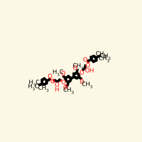 COCc1cc(-c2cc(COC)c(OCC(O)COC(=O)c3ccc(C(C)(C)C)cc3)c(COC)c2)cc(COC)c1OCC(O)COC(=O)c1ccc(C(C)(C)C)cc1